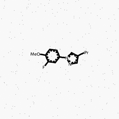 COc1ccc(-n2cc(C(C)C)cn2)cc1F